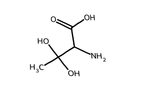 CC(O)(O)C(N)C(=O)O